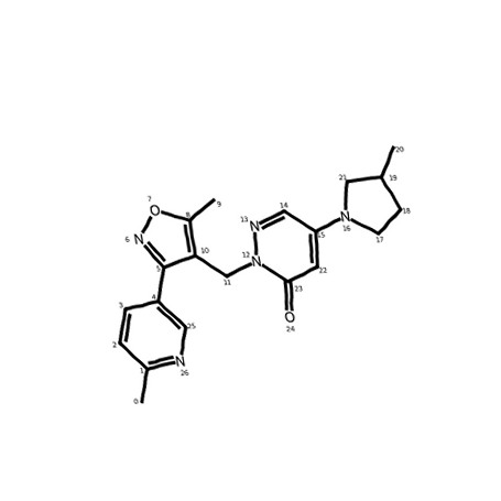 Cc1ccc(-c2noc(C)c2Cn2ncc(N3CCC(C)C3)cc2=O)cn1